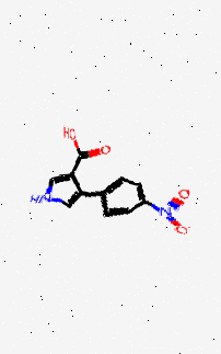 O=C(O)c1c[nH]cc1-c1ccc([N+](=O)[O-])cc1